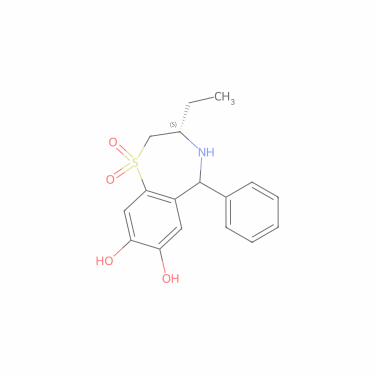 CC[C@H]1CS(=O)(=O)c2cc(O)c(O)cc2C(c2ccccc2)N1